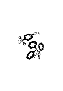 CCCS(=O)(=O)[P+](c1ccccc1)(c1ccccc1)c1ccccc1.Cc1ccc(S(=O)(=O)[O-])cc1